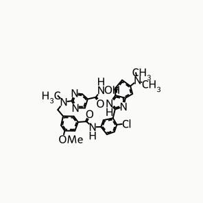 COc1cc(CN(C)c2ncc(C(=O)NO)cn2)cc(C(=O)Nc2ccc(Cl)c(-c3nc4cc(N(C)C)ccc4[nH]3)c2)c1